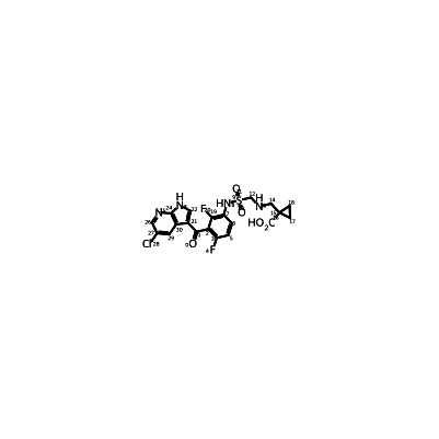 O=C(c1c(F)ccc(NS(=O)(=O)CNCC2(C(=O)O)CC2)c1F)c1c[nH]c2ncc(Cl)cc12